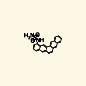 NS(=O)(=O)Nc1cccc2cc3ccc4cc5ccccc5cc4c3cc12